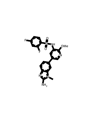 COc1ncc(-c2ccc3nc(N)n(C)c3c2)cc1NS(=O)(=O)c1ccc(F)cc1F